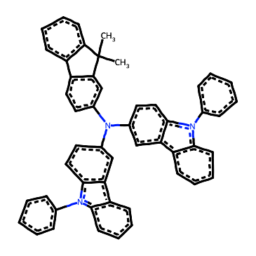 CC1(C)c2ccccc2-c2ccc(N(c3ccc4c(c3)c3ccccc3n4-c3ccccc3)c3ccc4c(c3)c3ccccc3n4-c3ccccc3)cc21